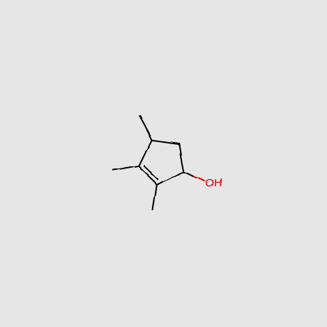 CC1=C(C)C(O)CC1C